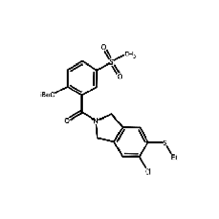 CCSc1cc2c(cc1Cl)CN(C(=O)c1cc(S(C)(=O)=O)ccc1OCC(C)C)C2